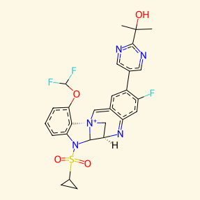 CC(C)(O)c1ncc(-c2cc3c(cc2F)=N[C@@H]2C[N@@+]4(C=3)c3c(OC(F)F)cccc3N(S(=O)(=O)C3CC3)C24)cn1